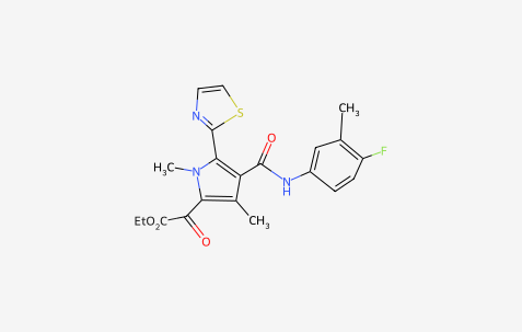 CCOC(=O)C(=O)c1c(C)c(C(=O)Nc2ccc(F)c(C)c2)c(-c2nccs2)n1C